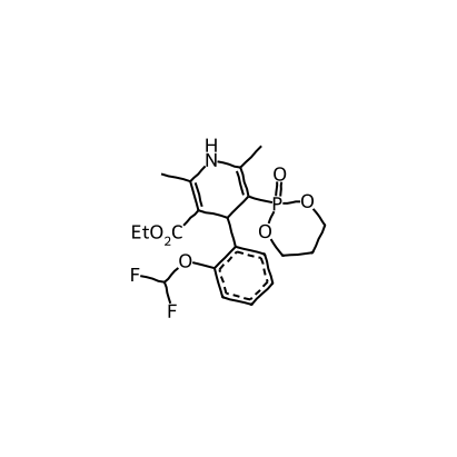 CCOC(=O)C1=C(C)NC(C)=C(P2(=O)OCCCO2)C1c1ccccc1OC(F)F